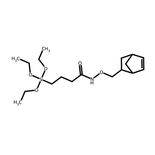 CCO[Si](CCCC(=O)NOCC1CC2C=CC1C2)(OCC)OCC